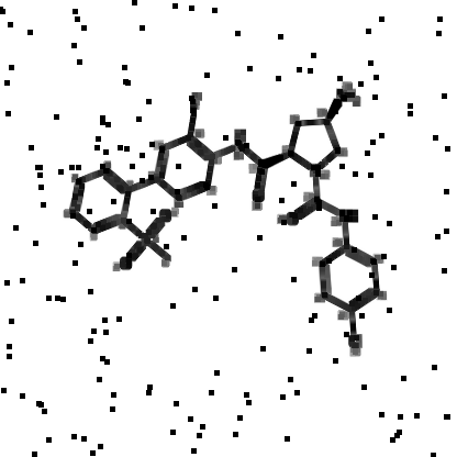 CS(=O)(=O)c1ccccc1-c1ccc(NC(=O)[C@H]2C[C@@H](N)CN2C(=O)Nc2ccc(Cl)cc2)c(F)c1